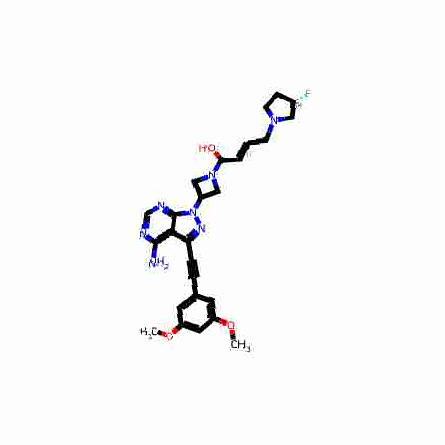 COc1cc(C#Cc2nn(C3CN(C(O)/C=C/CN4CC[C@H](F)C4)C3)c3ncnc(N)c23)cc(OC)c1